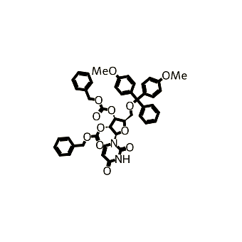 COc1ccc(C(OC[C@H]2O[C@@H](n3ccc(=O)[nH]c3=O)[C@H](OC(=O)OCc3ccccc3)[C@@H]2OC(=O)OCc2ccccc2)(c2ccccc2)c2ccc(OC)cc2)cc1